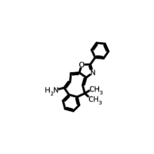 CC1(C)\C=c2/nc(-c3ccccc3)o/c2=C/C=C(\N)c2ccccc21